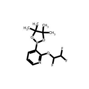 CC1(C)OB(c2cccnc2OC(F)C(F)F)OC1(C)C